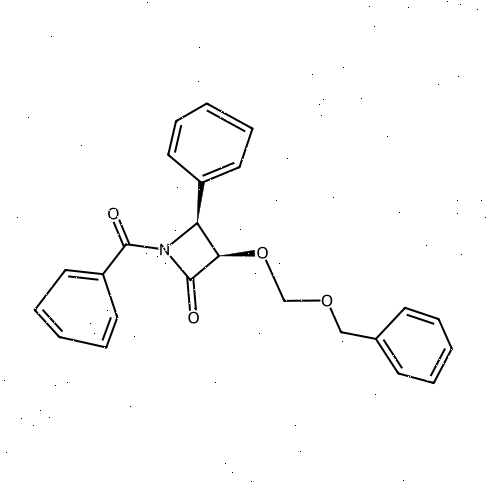 O=C(c1ccccc1)N1C(=O)[C@H](OCOCc2ccccc2)[C@@H]1c1ccccc1